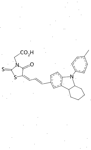 Cc1ccc(N2c3ccc(C=CC=C4SC(=S)N(CC(=O)O)C4=O)cc3C3CCCCC32)cc1